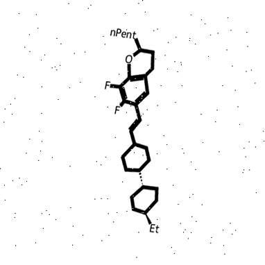 CCCCCC1CCc2cc(C=CC3CCC([C@H]4CC[C@H](CC)CC4)CC3)c(F)c(F)c2O1